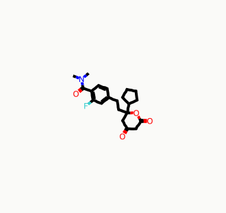 CN(C)C(=O)c1ccc(CCC2(C3CCCC3)CC(=O)CC(=O)O2)cc1F